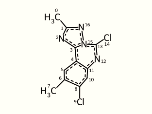 Cc1nc2c3cc(C)c(Cl)cc3nc(Cl)n2n1